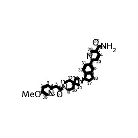 COc1ccc(CC(=O)N2CCC3(CC2)CN(C2CCc4cc(-c5ccc(C(N)=O)cn5)ccc42)C3)nc1